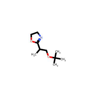 CC(COC(C)(C)C)C1=NCCO1